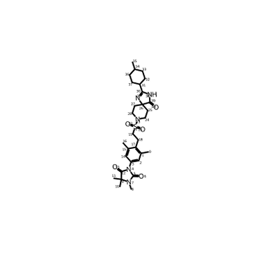 Cc1cc(N2C(=O)N(C)C(C)(C)C2=O)cc(C)c1CCS(=O)(=O)N1CCC2(CC1)N=C(C1CCC(C)CC1)NC2=O